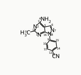 Cc1nc(N)c2cnn(-c3ccc(C#N)cc3)c2n1